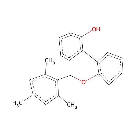 Cc1cc(C)c(COc2ccccc2-c2ccccc2O)c(C)c1